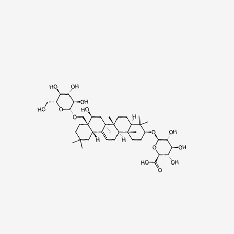 CC1(C)CC[C@]2(CO[C@@H]3O[C@H](CO)[C@@H](O)[C@H](O)[C@H]3O)[C@@H](O)C[C@]3(C)C(=CC[C@@H]4[C@@]5(C)CC[C@H](O[C@@H]6O[C@H](C(=O)O)[C@@H](O)[C@H](O)[C@H]6O)C(C)(C)[C@@H]5CC[C@]43C)[C@@H]2C1